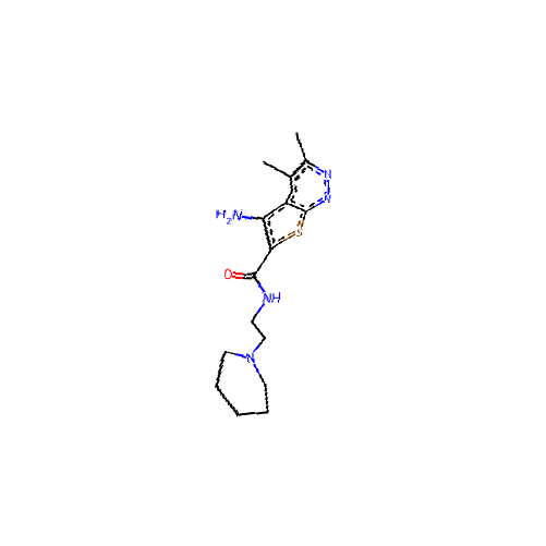 Cc1nnc2sc(C(=O)NCCN3CCCCC3)c(N)c2c1C